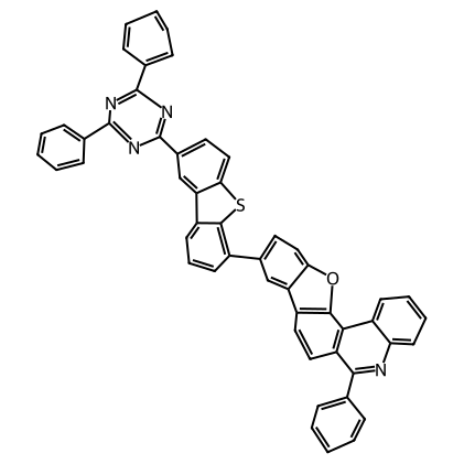 c1ccc(-c2nc(-c3ccccc3)nc(-c3ccc4sc5c(-c6ccc7oc8c(ccc9c(-c%10ccccc%10)nc%10ccccc%10c98)c7c6)cccc5c4c3)n2)cc1